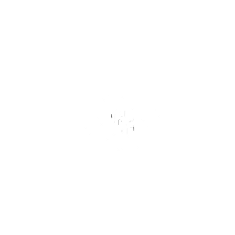 [Cl][Pd-2]([Cl])([PH](c1ccccc1)(c1ccccc1)c1ccccc1)[PH](c1ccccc1)(c1ccccc1)c1ccccc1